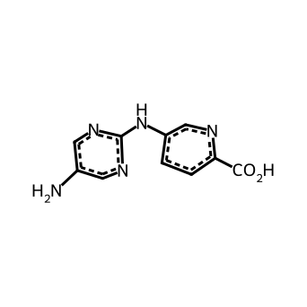 Nc1cnc(Nc2ccc(C(=O)O)nc2)nc1